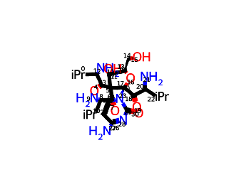 CC(C)C(N)C(=O)C1(C(=O)C(N)C(C)C)[C@H](O)[C@@H](CO)O[C@@]1(C(=O)C(N)C(C)C)n1ccc(N)nc1=O